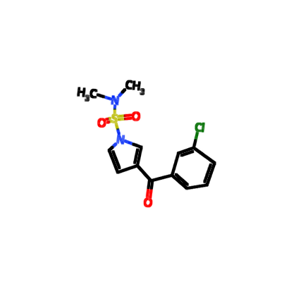 CN(C)S(=O)(=O)n1ccc(C(=O)c2cccc(Cl)c2)c1